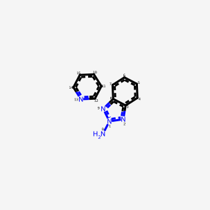 Nn1nc2ccccc2n1.c1ccncc1